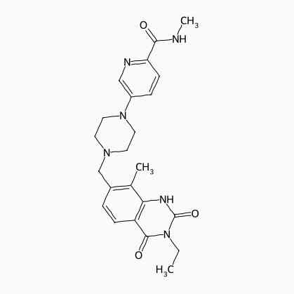 CCn1c(=O)[nH]c2c(C)c(CN3CCN(c4ccc(C(=O)NC)nc4)CC3)ccc2c1=O